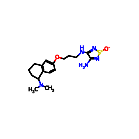 CN(C)C1CCCc2cc(OCCCNc3n[s+]([O-])nc3N)ccc21